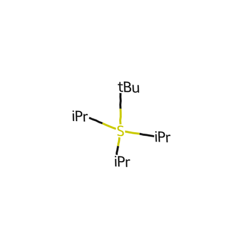 CC(C)S(C(C)C)(C(C)C)C(C)(C)C